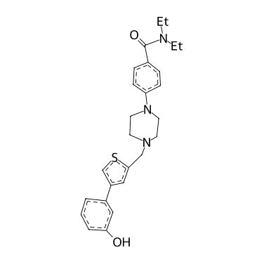 CCN(CC)C(=O)c1ccc(N2CCN(Cc3cc(-c4cccc(O)c4)cs3)CC2)cc1